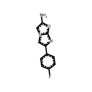 Nc1cn2[c]c(-c3ccc(F)cc3)nc2o1